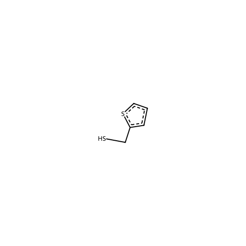 SCc1cccs1